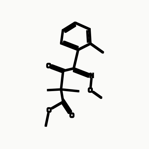 CON=C(C(=O)C(C)(C)C(=O)OC)c1ccccc1C